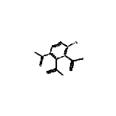 C=C(C)c1ccc(Br)c(C(=C)C)c1C(=C)C